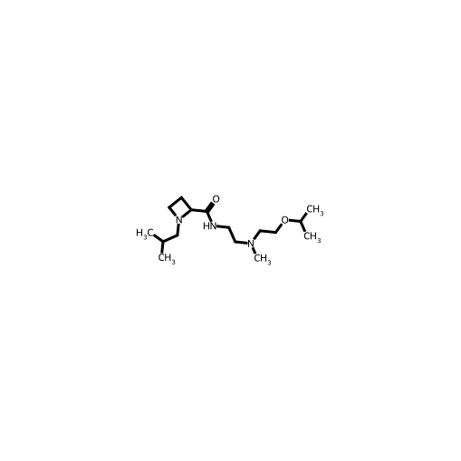 CC(C)CN1CCC1C(=O)NCCN(C)CCOC(C)C